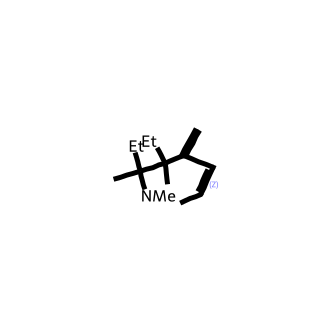 C=C(/C=C\C)C(C)(CC)C(C)(CC)NC